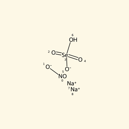 O=N[O-].O=[Se](=O)([O-])O.[Na+].[Na+]